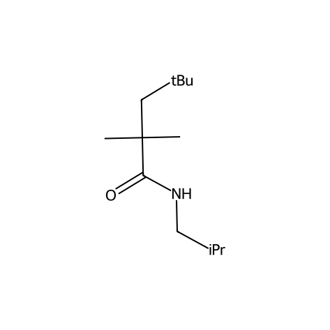 CC(C)CNC(=O)C(C)(C)CC(C)(C)C